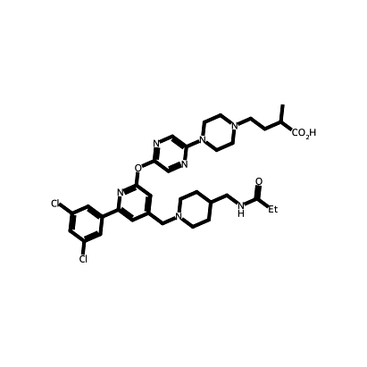 CCC(=O)NCC1CCN(Cc2cc(Oc3cnc(N4CCN(CCC(C)C(=O)O)CC4)cn3)nc(-c3cc(Cl)cc(Cl)c3)c2)CC1